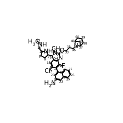 C=N/C(=N\c1c(CC2CCC(CNC)N2)cc(Cl)c(-c2cc(N)cc3ccccc23)c1F)OCCCN1C2CCCC1C2